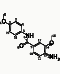 COc1ccc(NC(=O)c2ccc(N)c(OC)c2)cc1